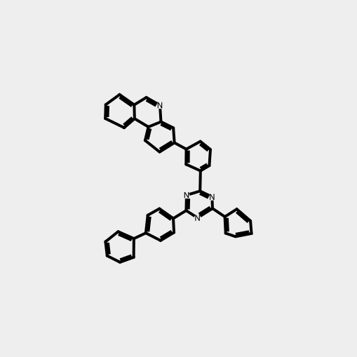 c1ccc(-c2ccc(-c3nc(-c4ccccc4)nc(-c4cccc(-c5ccc6c(c5)ncc5ccccc56)c4)n3)cc2)cc1